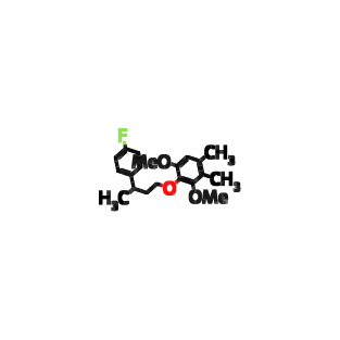 COc1cc(C)c(C)c(OC)c1OCCC(C)c1ccc(F)cc1